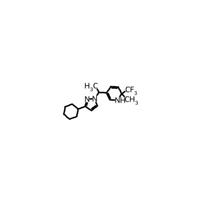 CC(C1=CNC(C)(C(F)(F)F)C=C1)n1ccc(C2CCCCC2)n1